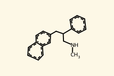 CNCC(Cc1ccc2ccccc2c1)c1ccccc1